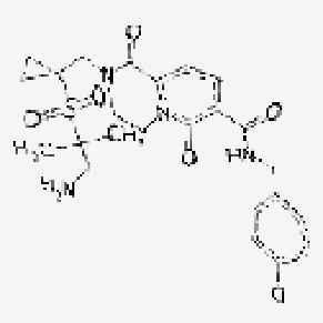 CC(C)(CN)S(=O)(=O)C1(CN2CCn3c(ccc(C(=O)NCc4ccc(Cl)cc4)c3=O)C2=O)CC1